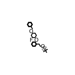 CC(C)(C)[Si](C)(C)OCCc1ccccc1OC1CCC(OCc2ccccc2)CC1F